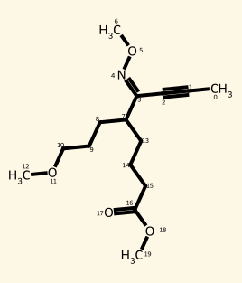 CC#C/C(=N\OC)C(CCCOC)CCCC(=O)OC